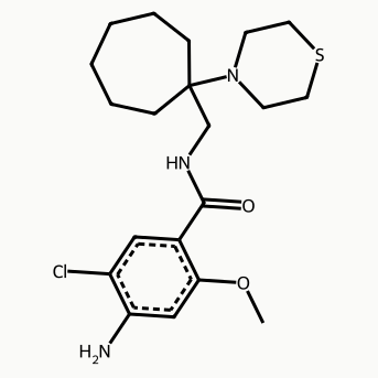 COc1cc(N)c(Cl)cc1C(=O)NCC1(N2CCSCC2)CCCCCC1